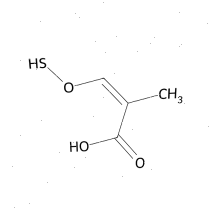 CC(=COS)C(=O)O